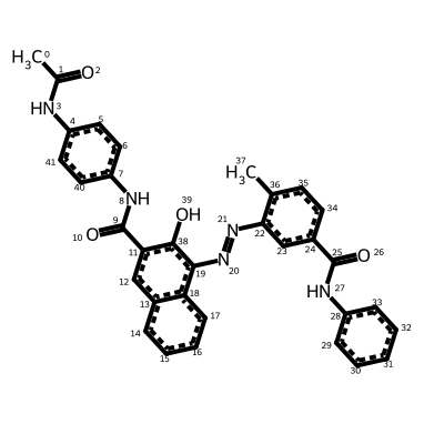 CC(=O)Nc1ccc(NC(=O)c2cc3ccccc3c(N=Nc3cc(C(=O)Nc4ccccc4)ccc3C)c2O)cc1